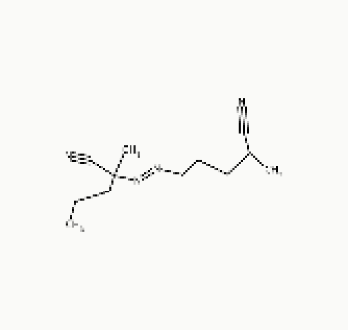 CCCC(C)(C#N)N=NCCCC(C)C#N